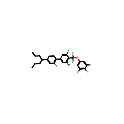 CCCC(CCC)c1ccc(-c2cc(F)c(C(F)(F)Oc3cc(F)c(F)c(F)c3)c(F)c2)c(F)c1